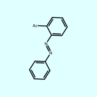 CC(=O)c1ccccc1N=Nc1ccccc1